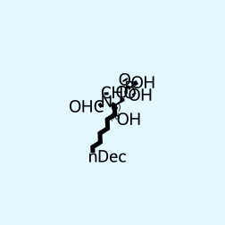 CCCCCCCCCCCCCCC[C@@H](O)[C@H](COP(=O)(O)O)N(C=O)C=O